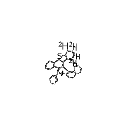 [2H]c1c([2H])c([2H])c2c(sc3c4ccccc4c4c(c32)c2c3ccccc3ccc2n4-c2ccccc2)c1[2H]